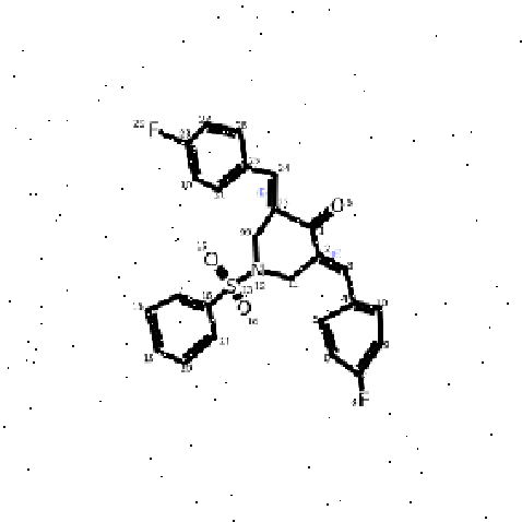 O=C1/C(=C/c2ccc(F)cc2)CN(S(=O)(=O)c2ccccc2)C/C1=C\c1ccc(F)cc1